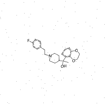 CC(O)(c1cccc2c1OCCO2)C1CCN(CCc2ccc(F)cc2)CC1